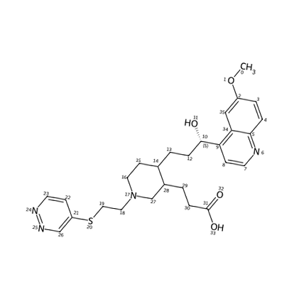 COc1ccc2nccc([C@@H](O)CCC3CCN(CCSc4ccnnc4)CC3CCC(=O)O)c2c1